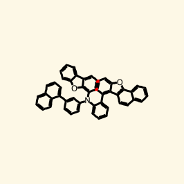 c1cc(-c2cccc3ccccc23)cc(N(c2ccccc2-c2cccc3oc4c5ccccc5ccc4c23)c2cccc3c2oc2ccccc23)c1